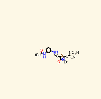 CCn1c(=C=C(C#N)C(=O)O)sc(=C=CNc2cccc(NC(=O)C(C)(C)C)c2)c1=O